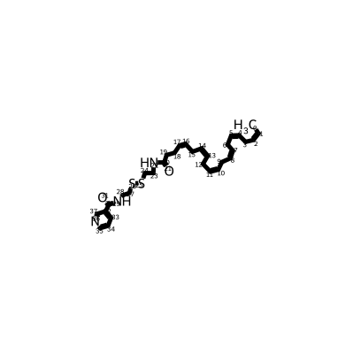 C/C=C\C/C=C\C/C=C\C/C=C\C/C=C\C/C=C\CCC(=O)NCCSSCCNC(=O)c1cccnc1